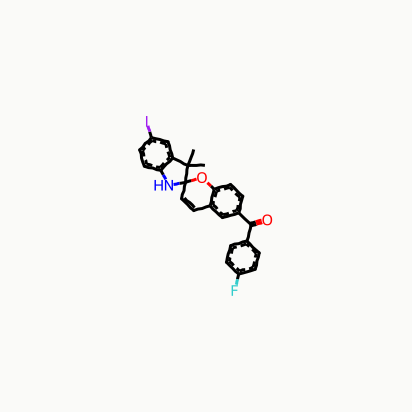 CC1(C)c2cc(I)ccc2NC12C=Cc1cc(C(=O)c3ccc(F)cc3)ccc1O2